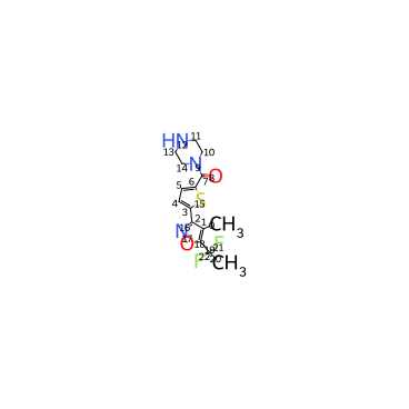 Cc1c(-c2ccc(C(=O)N3CCNCC3)s2)noc1C(C)(F)F